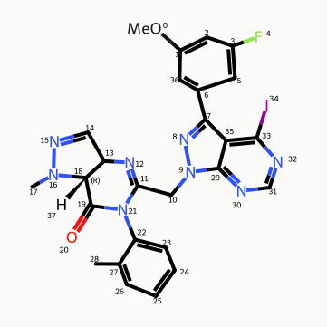 COc1cc(F)cc(-c2nn(CC3=NC4C=NN(C)[C@H]4C(=O)N3c3ccccc3C)c3ncnc(I)c23)c1